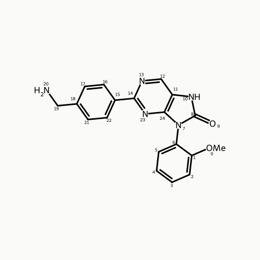 COc1ccccc1-n1c(=O)[nH]c2cnc(-c3ccc(CN)cc3)nc21